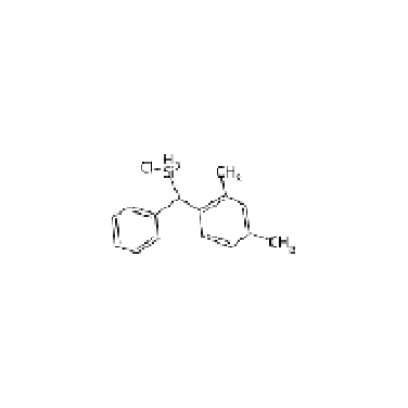 Cc1ccc(C([SiH2]Cl)c2ccccc2)c(C)c1